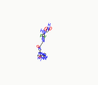 CC(C)n1nc(-c2noc(C3CC3)c2-c2ncc(C3CCN(C(=O)CCCCCCCN4CCN(c5c(F)cc(N[C@@H]6CCC(=O)NC6=O)cc5F)CC4)CC3)cn2)c2c(N)ncnc21